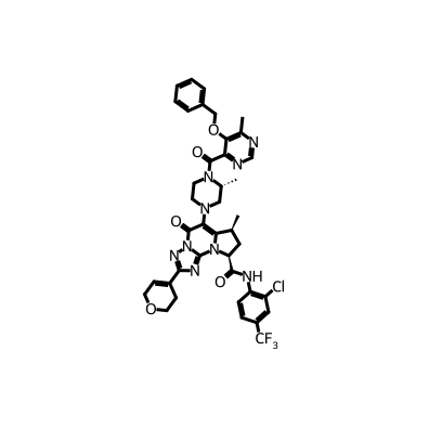 Cc1ncnc(C(=O)N2CCN(c3c4n(c5nc(C6=CCOCC6)nn5c3=O)[C@H](C(=O)Nc3ccc(C(F)(F)F)cc3Cl)C[C@@H]4C)C[C@H]2C)c1OCc1ccccc1